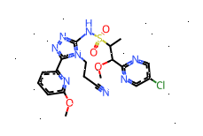 COc1cccc(-c2nnc(NS(=O)(=O)C(C)C(OC)c3ncc(Cl)cn3)n2CCC#N)n1